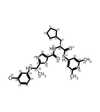 Cc1cc(NC(=O)[C@H](CC2CCCC2)NC(=O)c2cnc([C@H](C)Nc3cccc(Cl)c3)s2)cc(C)n1